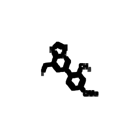 COc1ccc(-c2cc(CI)c3ncnn3c2)c(C)c1